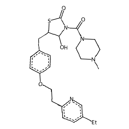 CCc1ccc(CCOc2ccc(CC3SC(=O)N(C(=O)N4CCN(C)CC4)C3O)cc2)nc1